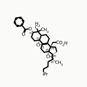 CC(C)CCC[C@@H](C)[C@H]1CC[C@@]2(CC(=O)O)C3=C(CC[C@]12C)[C@@]1(C)CC[C@H](OC(=O)c2ccccc2)C(C)(C)C1CC3